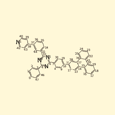 c1ccc(-c2nc(-c3ccc(-c4ccc5c6ccccc6c6ccccc6c5c4)cc3)nc(-c3cccc(-c4ccncc4)c3)n2)cc1